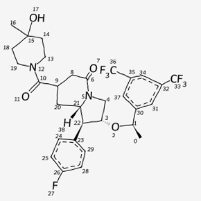 C[C@@H](O[C@H]1CN2C(=O)CC(C(=O)N3CCC(C)(O)CC3)C[C@H]2[C@@H]1c1ccc(F)cc1)c1cc(C(F)(F)F)cc(C(F)(F)F)c1